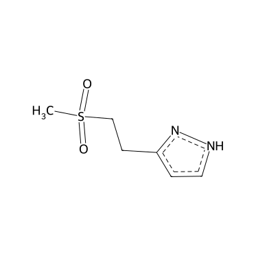 CS(=O)(=O)CCc1cc[nH]n1